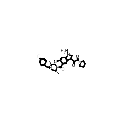 C[C@@H]1CN(Cc2ccc(F)cc2)[C@@H](C)CN1C(=O)c1cc2c(cc1Cl)N(N)CC2C(=O)C(=O)N1CCCC1